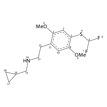 COc1cc(SC(F)F)c(OC)cc1CCNCC1CC1